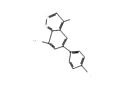 COc1cc(-c2ccc(F)cc2)cc2c(O)cnnc12